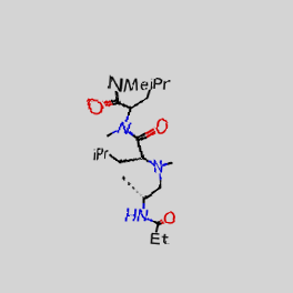 CCC(=O)N[C@H](C)CN(C)[C@@H](CC(C)C)C(=O)N(C)C(CC(C)C)C(=O)NC